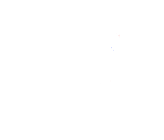 COc1ccc(C(C)C)cc1/C=N/O